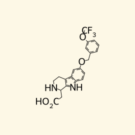 O=C(O)CC1NCCc2c1[nH]c1ccc(OCc3cccc(OC(F)(F)F)c3)cc21